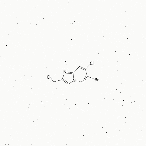 ClCc1cn2cc(Br)c(Cl)cc2n1